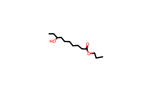 CCCOC(=O)CCCCCCC(O)CC